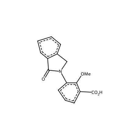 COc1c(C(=O)O)cccc1N1Cc2ccccc2C1=O